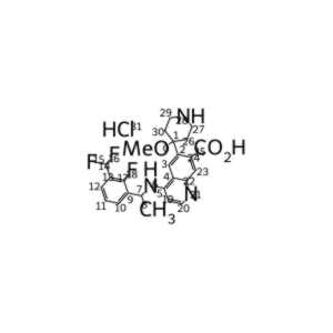 COC1(c2cc3c(NC(C)c4cccc(C(F)F)c4F)ccnc3cc2C(=O)O)CCNCC1.Cl